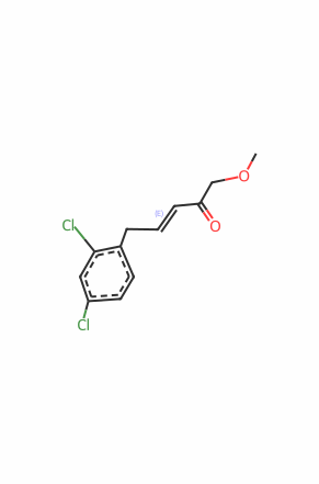 COCC(=O)/C=C/Cc1ccc(Cl)cc1Cl